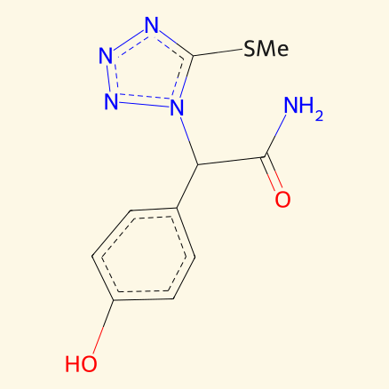 CSc1nnnn1C(C(N)=O)c1ccc(O)cc1